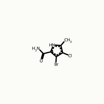 Cc1[nH]c(C(N)=O)c(Br)c1Cl